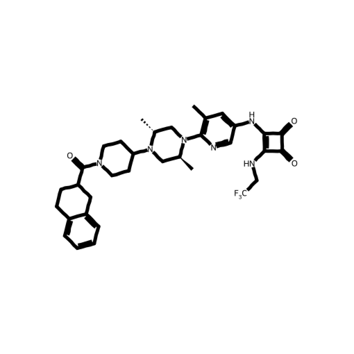 Cc1cc(Nc2c(NCC(F)(F)F)c(=O)c2=O)cnc1N1C[C@@H](C)N(C2CCN(C(=O)C3CCc4ccccc4C3)CC2)C[C@@H]1C